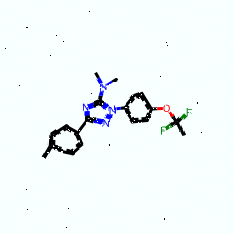 Cc1ccc(-c2nc(N(C)C)n(-c3ccc(OC(C)(F)F)cc3)n2)cc1